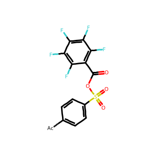 CC(=O)c1ccc(S(=O)(=O)OC(=O)c2c(F)c(F)c(F)c(F)c2F)cc1